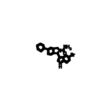 NC(=O)N1Cc2cc(-c3ccccc3)ccc2C1c1c[nH]c2ccc(Br)cc12